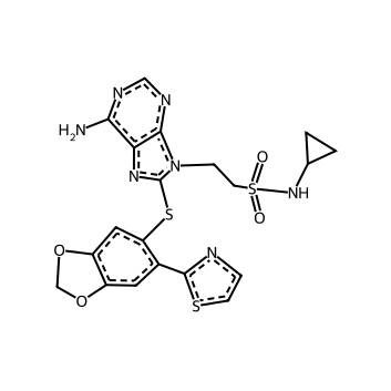 Nc1ncnc2c1nc(Sc1cc3c(cc1-c1nccs1)OCO3)n2CCS(=O)(=O)NC1CC1